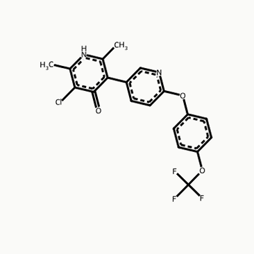 Cc1[nH]c(C)c(-c2ccc(Oc3ccc(OC(F)(F)F)cc3)nc2)c(=O)c1Cl